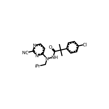 CC(C)CN(NC(=O)C(C)(C)c1ccc(Cl)cc1)c1ccnc(C#N)n1